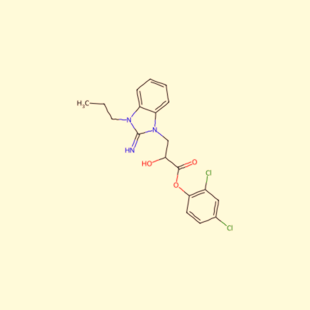 CCCn1c(=N)n(CC(O)C(=O)Oc2ccc(Cl)cc2Cl)c2ccccc21